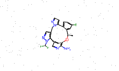 C[C@H]1Oc2cc(cnc2N)-c2c(cnn2C(F)F)Cn2nccc2-c2ccc(F)cc21